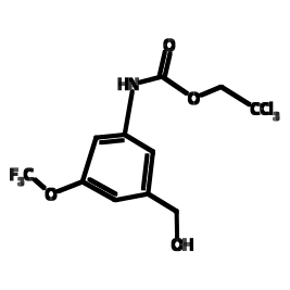 O=C(Nc1cc(CO)cc(OC(F)(F)F)c1)OCC(Cl)(Cl)Cl